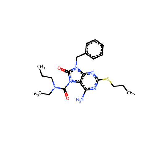 CCCSc1nc(N)c2c(n1)n(Cc1ccccc1)c(=O)n2C(=O)N(CC)CCC